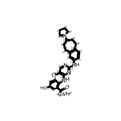 CNC(=O)c1cc(O)ccc1Nc1nc(Nc2ccc3c(c2)CCC(N2CCCC2)CC3)ncc1Cl